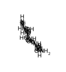 Nc1nc2ncc(CNc3ccc(C(=O)N[C@@H](CCC(=O)N[C@@H](CC(=O)NCCN4CCNCC4)C(=O)O)C(=O)O)cc3)nc2c(=O)[nH]1